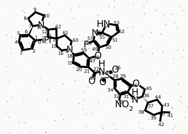 CC(C)c1ccccc1[C@H]1CCCN1C1CC2(CCN(c3ccc(C(=O)NS(=O)(=O)c4cc5c(c([N+](=O)[O-])c4)N[C@@H](C4CCC(C)(C)CC4)CO5)c(Oc4cc5cc[nH]c5nc4F)c3)CC2)C1